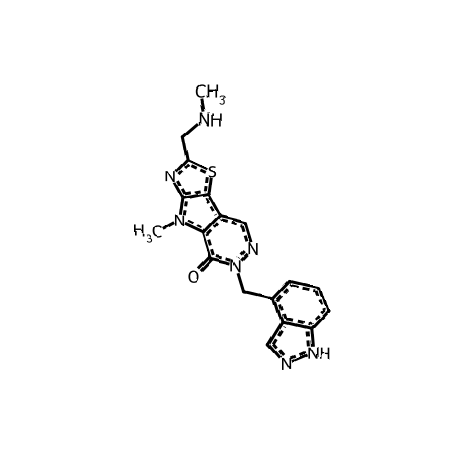 CNCc1nc2c(s1)c1cnn(Cc3cccc4[nH]ncc34)c(=O)c1n2C